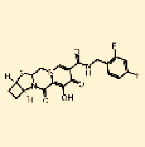 O=C(NCc1ccc(F)cc1F)c1cn2c(c(O)c1=O)C(=O)N1C(C2)S[C@@H]2CC[C@@H]21